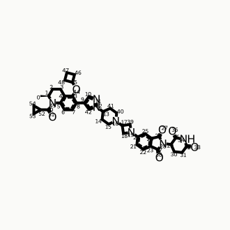 C[C@H]1CCc2c(ccc(-c3cnn(C4CCN(C5CN(c6ccc7c(c6)C(=O)N(C6CCC(=O)NC6=O)C7=O)C5)CC4)c3)c2OC2CCC2)N1C(=O)C1CC1